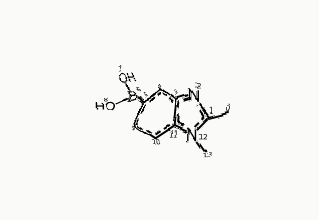 Cc1nc2cc(B(O)O)ccc2n1C